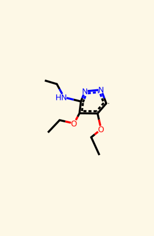 CCNc1nn[c]c(OCC)c1OCC